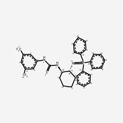 FC(F)(F)c1cc(NC(=S)N[C@@H]2CCCC[C@H]2N=P(c2ccccc2)(c2ccccc2)c2ccccc2)cc(C(F)(F)F)c1